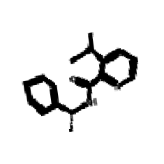 CC(C)c1cccnc1C(=O)N[C@H](C)c1ccccc1